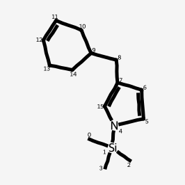 C[Si](C)(C)n1ccc(CC2CC=CCC2)c1